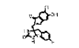 O=C1NC(=O)C(Cc2ccc(F)cc2)(CN2Cc3cc(O)c(Cl)cc3C2=O)N1